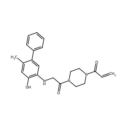 C=CC(=O)N1CCN(C(=O)CNc2cc(-c3ccccc3)c(C)cc2O)CC1